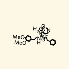 COc1ccc(CCNC2=NC3=C(C=NC[N+]3(C)[O-])[N+]2([O-])CCc2ccccc2)cc1OC